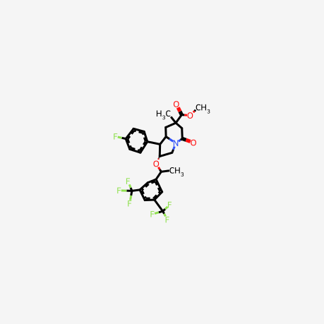 COC(=O)C1(C)CC(=O)N2C[C@H](OC(C)c3cc(C(F)(F)F)cc(C(F)(F)F)c3)C(c3ccc(F)cc3)C2C1